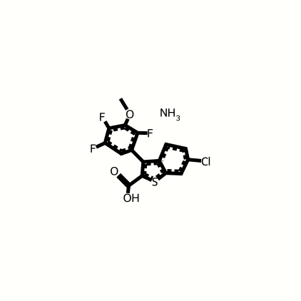 COc1c(F)c(F)cc(-c2c(C(=O)O)sc3cc(Cl)ccc23)c1F.N